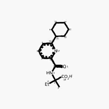 CCC(C)(NC(=O)c1cccc(C2CCCCC2)n1)C(=O)O